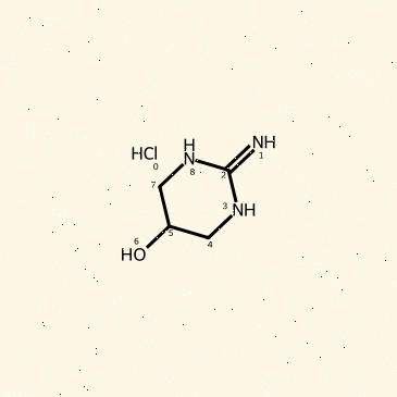 Cl.N=C1NCC(O)CN1